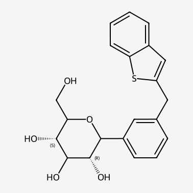 OCC1OC(c2cccc(Cc3cc4ccccc4s3)c2)[C@H](O)C(O)[C@@H]1O